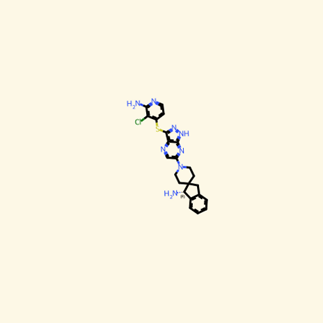 Nc1nccc(Sc2n[nH]c3nc(N4CCC5(CC4)Cc4ccccc4[C@@H]5N)cnc23)c1Cl